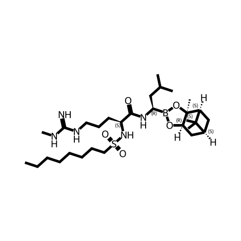 CCCCCCCCS(=O)(=O)N[C@@H](CCCNC(=N)NC)C(=O)N[C@@H](CC(C)C)B1O[C@@H]2C[C@@H]3C[C@@H](C3(C)C)[C@]2(C)O1